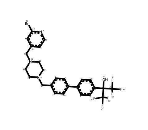 OC(c1ccc(-c2ccc(CN3CCN(Cc4ccnc(Br)c4)CC3)cc2)cc1)(C(F)(F)F)C(F)(F)F